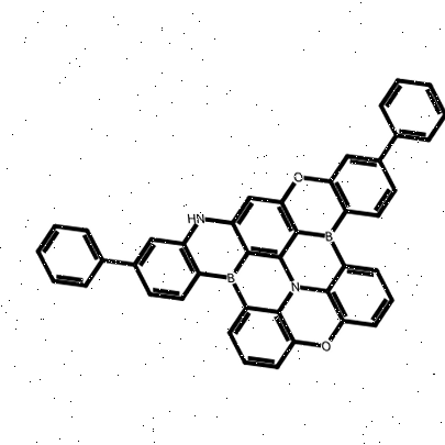 c1ccc(-c2ccc3c(c2)Nc2cc4c5c6c2B3c2cccc3c2N6c2c(cccc2B5c2ccc(-c5ccccc5)cc2O4)O3)cc1